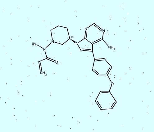 C=CC(=O)N(C(C)C)N1CCC[C@@H](n2nc(-c3ccc(Oc4ccccc4)cc3)c3c(N)ncnc32)C1